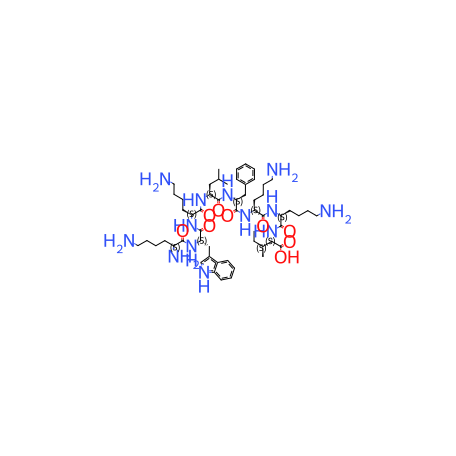 CC[C@H](C)[C@H](NC(=O)[C@H](CCCCN)NC(=O)[C@H](CCCCN)NC(=O)[C@H](Cc1ccccc1)NC(=O)[C@H](CC(C)C)NC(=O)[C@H](CCCCN)NC(=O)[C@H](Cc1c[nH]c2ccccc12)NC(=O)[C@@H](N)CCCCN)C(=O)O